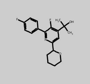 CC(C)(O)c1cc(C2CCCCO2)nc(-c2ccc(F)cc2)c1F